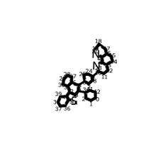 c1ccc(-c2c(-c3ccc(-c4ccc5ccc6cccnc6c5n4)cc3)c3ccccc3c3c2sc2ccccc23)cc1